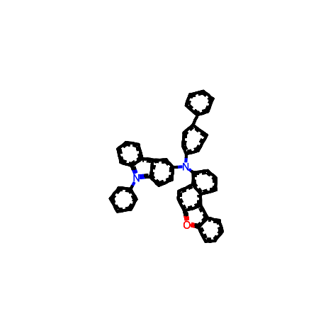 c1ccc(-c2ccc(N(c3ccc4c(c3)c3ccccc3n4-c3ccccc3)c3cccc4c3ccc3oc5ccccc5c34)cc2)cc1